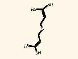 SC(S)=CCSCC=C(S)S